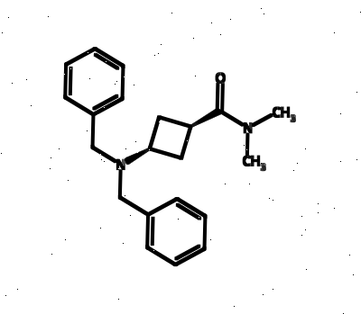 CN(C)C(=O)[C@H]1C[C@@H](N(Cc2ccccc2)Cc2ccccc2)C1